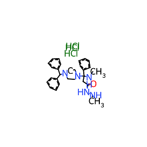 CNNC(=O)CC(NC)(c1ccccc1)N1CCN(C(c2ccccc2)c2ccccc2)CC1.Cl.Cl.Cl